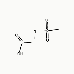 CS(=O)(=O)NCS(=O)O